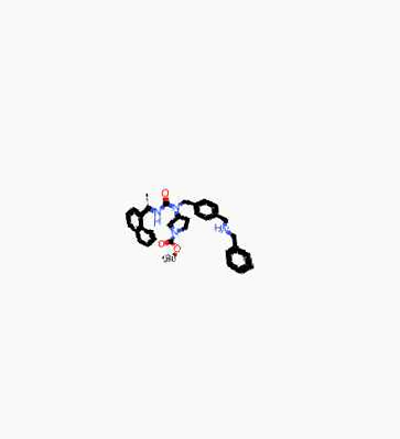 C[C@H](NC(=O)N(Cc1ccc(CNCc2ccccc2)cc1)C1CCN(C(=O)OC(C)(C)C)C1)c1cccc2ccccc12